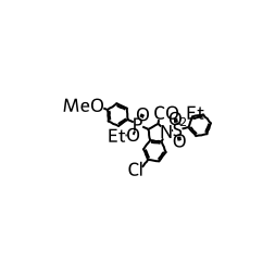 CCOC(=O)C1C(P(=O)(OCC)c2ccc(OC)cc2)c2cc(Cl)ccc2N1S(=O)(=O)c1ccccc1